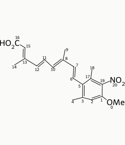 COc1cc(C)c(C=CC(C)=CC=CC(C)=CC(=O)O)c(C)c1[N+](=O)[O-]